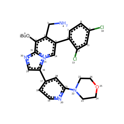 CC(C)COc1c(CN)c(-c2ccc(Cl)cc2Cl)cn2c(-c3ccnc(N4CCOCC4)c3)cnc12